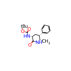 C[C@@H]1NC(=O)[C@H](NC(=O)OC(C)(C)C)C[C@@H]1c1ccccc1